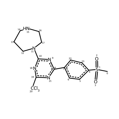 CS(=O)(=O)c1ccc(-c2nc(N3CCCNCC3)nc(C(Cl)(Cl)Cl)n2)cc1